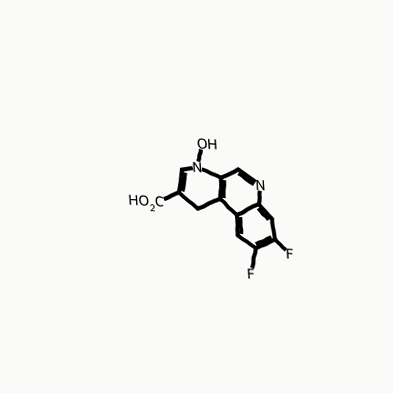 O=C(O)C1=CN(O)c2cnc3cc(F)c(F)cc3c2C1